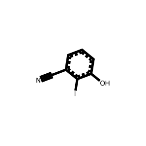 N#Cc1cccc(O)c1I